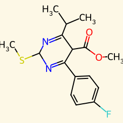 COC(=O)C1C(c2ccc(F)cc2)=NC(SC)N=C1C(C)C